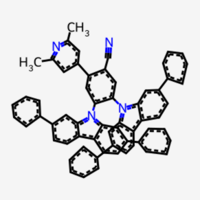 Cc1cc(-c2cc(-n3c4cc(-c5ccccc5)ccc4c4ccc(-c5ccccc5)cc43)c(-n3c4cc(-c5ccccc5)ccc4c4ccc(-c5ccccc5)cc43)cc2C#N)cc(C)n1